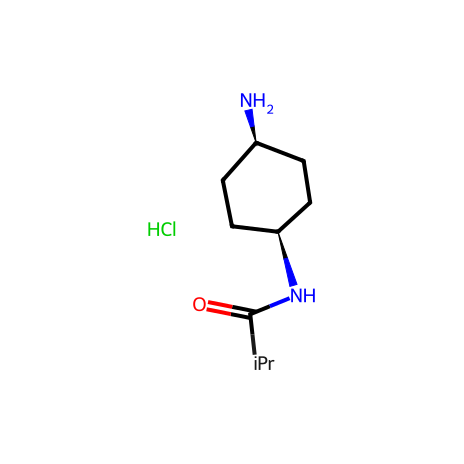 CC(C)C(=O)N[C@H]1CC[C@@H](N)CC1.Cl